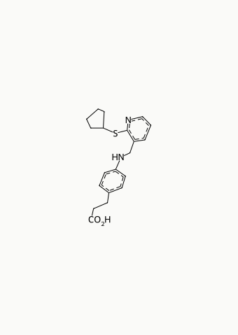 O=C(O)CCc1ccc(NCc2cccnc2SC2CCCC2)cc1